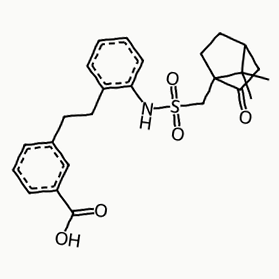 CC1(C)C2CCC1(CS(=O)(=O)Nc1ccccc1CCc1cccc(C(=O)O)c1)C(=O)C2